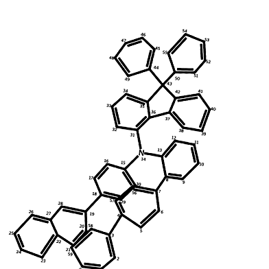 c1ccc(-c2ccc(-c3ccccc3N(c3ccc(-c4ccc5ccccc5c4)cc3)c3cccc4c3-c3ccccc3C4(c3ccccc3)c3ccccc3)cc2)cc1